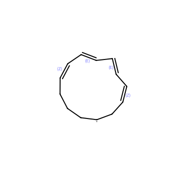 [CH]1C\C=C/C=C/C=C/C=C\CCC1